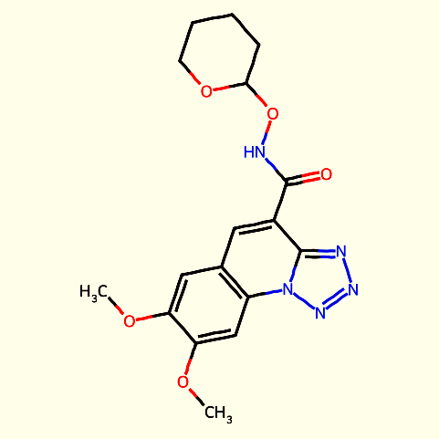 COc1cc2cc(C(=O)NOC3CCCCO3)c3nnnn3c2cc1OC